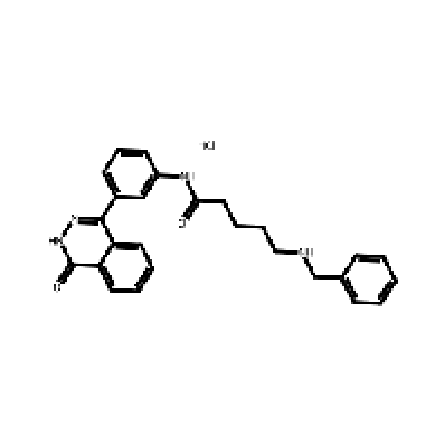 Cl.O=C(CCCCNCc1ccccc1)Nc1cccc(-c2n[nH]c(=O)c3ccccc23)c1